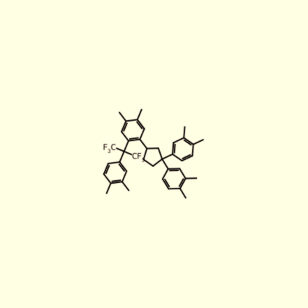 Cc1ccc(C2(c3ccc(C)c(C)c3)CCC(c3cc(C)c(C)cc3C(c3ccc(C)c(C)c3)(C(F)(F)F)C(F)(F)F)C2)cc1C